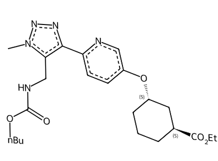 CCCCOC(=O)NCc1c(-c2ccc(O[C@H]3CCC[C@H](C(=O)OCC)C3)cn2)nnn1C